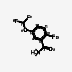 NC(=O)c1cc(OC(F)F)ccc1F